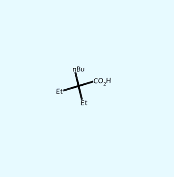 CCCCC(CC)(CC)C(=O)O